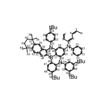 C=C/C(=C\C=C/C)N(c1ccccc1)c1cc2c3c(c1)N(c1ccc(C(C)(C)C)cc1)c1c(sc4cc5c(cc14)C(C)(C)CCC5(C)C)B3c1ccc(C(C)(C)C)cc1N2c1cc(C(C)(C)C)cc(C(C)(C)C)c1